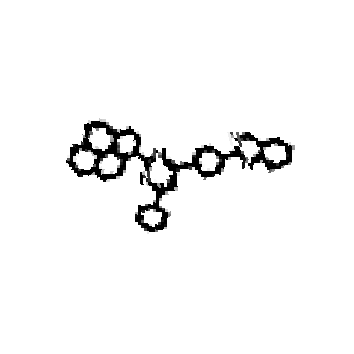 c1ccc(-c2cc(-c3ccc(-c4ncc5ccccc5n4)cc3)nc(-c3ccc4ccc5cccc6ccc3c4c56)n2)cc1